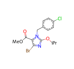 COC(=O)c1c(Br)nc(OC(C)C)n1Cc1ccc(Cl)cc1